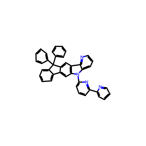 c1ccc(C2(c3ccccc3)c3ccccc3-c3cc4c(cc32)c2ncccc2n4-c2cccc(-c3ccccn3)n2)cc1